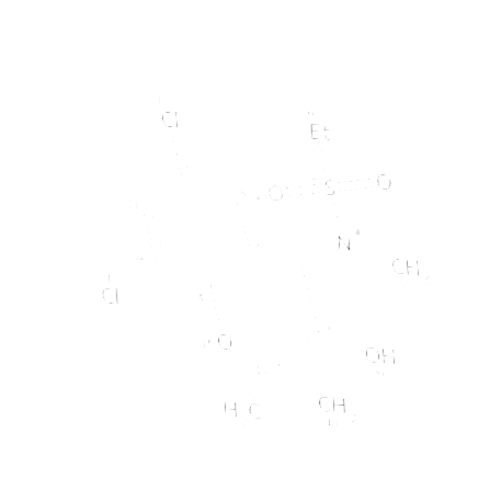 CCS(=O)(=O)N(C)C1c2cc(Cl)cc(Cl)c2OC(C)(C)C1O